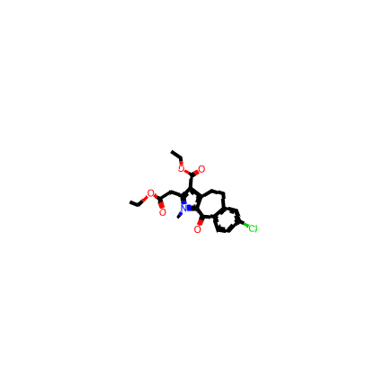 CCOC(=O)Cc1c(C(=O)OCC)c2c(n1C)C(=O)c1ccc(Cl)cc1CC2